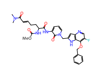 COC(=O)NC(CCC=CC(=O)N(C)C)C(=O)Nc1cccn(Cc2cc3ncc(F)c(OCc4ccccc4)c3[nH]2)c1=O